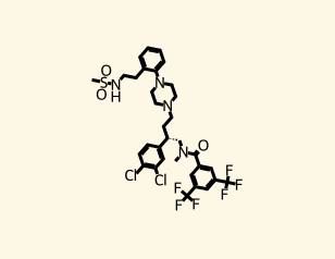 CN(C[C@@H](CCN1CCN(c2ccccc2CCNS(C)(=O)=O)CC1)c1ccc(Cl)c(Cl)c1)C(=O)c1cc(C(F)(F)F)cc(C(F)(F)F)c1